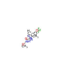 COCCNC(=O)c1cnn2c(C)c(Cc3cccc(OC(F)(F)F)c3)c(C)nc12